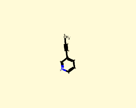 [CH2]C#Cc1cccnc1